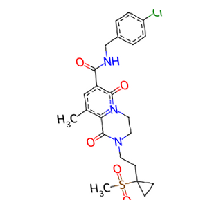 Cc1cc(C(=O)NCc2ccc(Cl)cc2)c(=O)n2c1C(=O)N(CCC1(S(C)(=O)=O)CC1)CC2